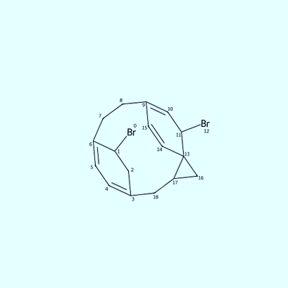 BrC1CC2=CC=C1CCC1=CC(Br)C3(C=C1)CC3C2